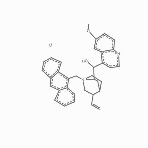 C=CC1C[N+]2(Cc3c4ccccc4cc4ccccc34)CCC1CC2C(O)c1ccnc2ccc(OC)cc12.[Cl-]